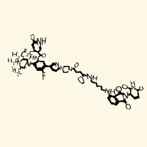 C[C@@H]1CN(c2cc(F)c(-c3ccc(N4CCN(C(=O)CCC(=O)NCCCCCNc5cccc6c5C(=O)N(C5CCC(=O)NC5=O)C6=O)CC4)nc3)cc2NC(=O)c2c[nH]c(=O)cc2C(F)(F)F)C[C@H](C)N1C